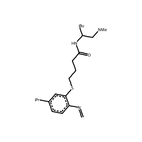 C=Nc1ccc(C(C)C)cc1SCCCC(=O)NC(CNC)C(C)CC